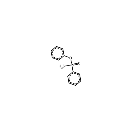 [SiH3]P(=S)(Oc1ccccc1)c1ccccc1